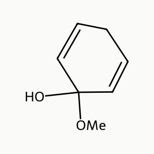 COC1(O)C=CCC=C1